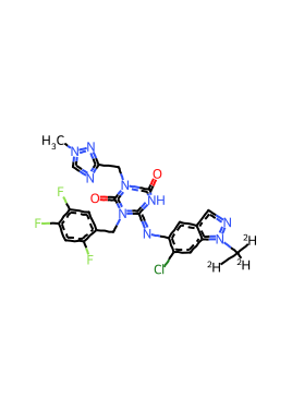 [2H]C([2H])([2H])n1ncc2cc(N=c3[nH]c(=O)n(Cc4ncn(C)n4)c(=O)n3Cc3cc(F)c(F)cc3F)c(Cl)cc21